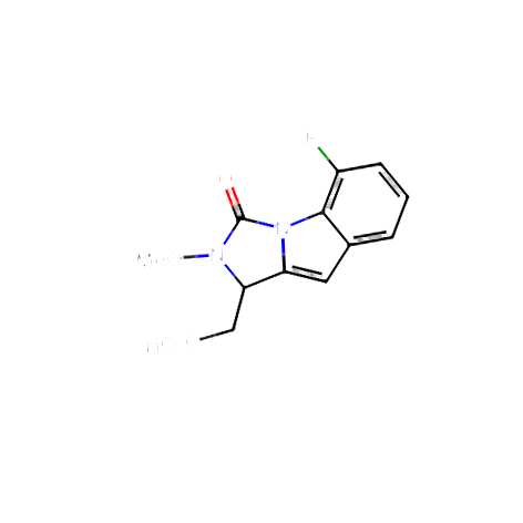 CON1C(=O)n2c(cc3cccc(F)c32)C1CC(=O)O